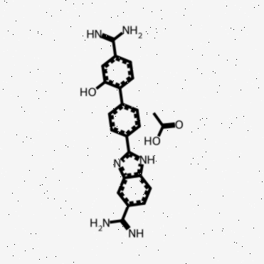 CC(=O)O.N=C(N)c1ccc(-c2ccc(-c3nc4cc(C(=N)N)ccc4[nH]3)cc2)c(O)c1